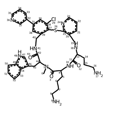 CN1C(=O)C(CCCCN)NC(=O)C(CCCN)NCc2cccnc2Sc2c(Cl)cc(-c3cccnc3)cc2CNC(=O)C1Cc1c[nH]c2ccccc12